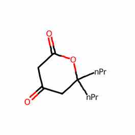 CCCC1(CCC)CC(=O)CC(=O)O1